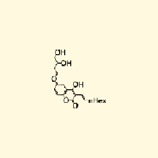 CCCCCCC=Cc1c(O)c2cc(OCCC(O)CO)ccc2oc1=O